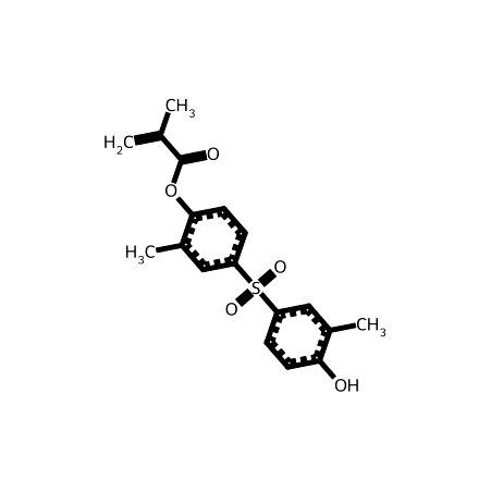 C=C(C)C(=O)Oc1ccc(S(=O)(=O)c2ccc(O)c(C)c2)cc1C